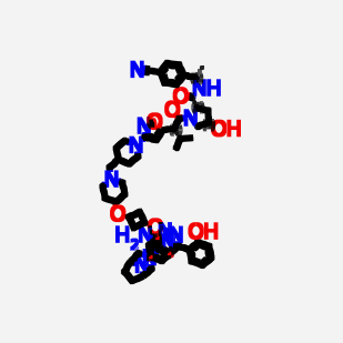 CC(C)[C@@H](C(=O)N1C[C@H](O)C[C@H]1C(=O)N[C@@H](C)c1ccc(C#N)cc1)c1cc(N2CCC(CN3CCC(O[C@H]4C[C@H](Oc5cc(N6C7CCC6CN(c6cc(-c8ccccc8O)nnc6N)C7)ccn5)C4)CC3)CC2)no1